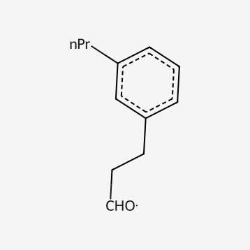 CCCc1cccc(CC[C]=O)c1